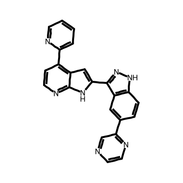 c1ccc(-c2ccnc3[nH]c(-c4n[nH]c5ccc(-c6cnccn6)cc45)cc23)nc1